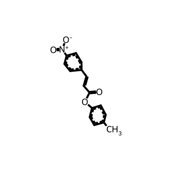 Cc1ccc(OC(=O)C=Cc2ccc([N+](=O)[O-])cc2)cc1